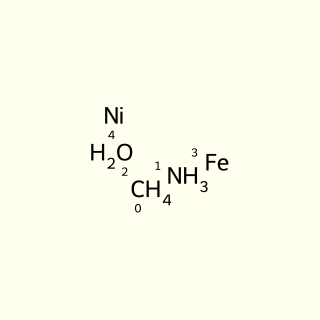 C.N.O.[Fe].[Ni]